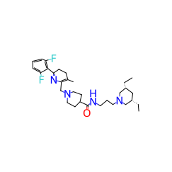 CC[C@@H]1C[C@H](CC)CN(CCCNC(=O)C2CCN(CC3=C(C)CCC(c4c(F)cccc4F)=N3)CC2)C1